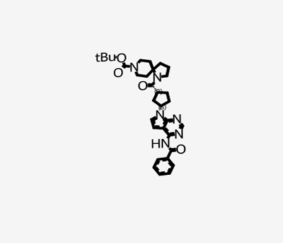 CC(C)(C)OC(=O)N1CCC2(CCCN2C(=O)[C@@H]2CC[C@H](n3ccc4c(NC(=O)c5ccccc5)ncnc43)C2)CC1